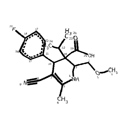 COCC1NC(C)=C(C#N)C(c2ccc(F)cc2)C1(C(=O)O)C(C)C